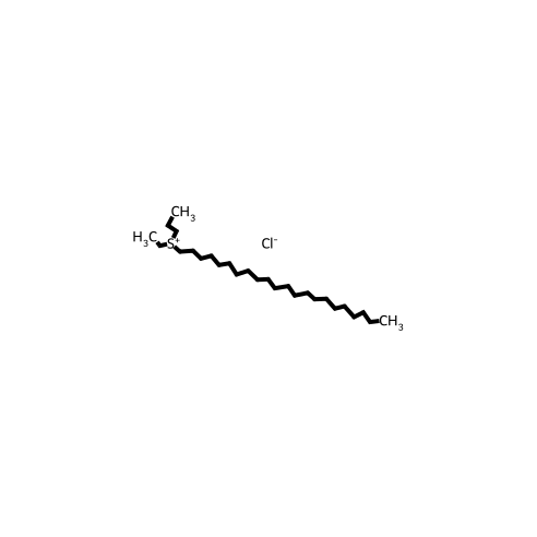 CCCCCCCCCCCCCCCCCCCCCC[S+](CC)CCC.[Cl-]